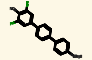 CCCCCCCc1ccc(-c2ccc(-c3cc(F)c(C#N)c(F)c3)cc2)cc1